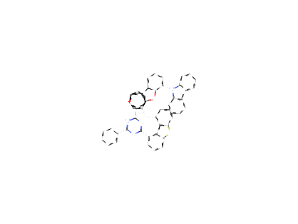 c1ccc(-c2nc(-c3ccccc3)nc(-c3cccc4sc5cccc(Cc6cccc7c6oc6c(-n8c9ccccc9c9ccccc98)cccc67)c5c34)n2)cc1